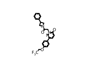 O=C(Cn1nc(-c2ccc(OCC(F)(F)F)cc2)ccc1=O)N1CC(c2ccccc2)C1